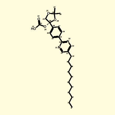 CCCCCCCCCCCc1cnc(-c2ccc([C@@]3(OC(=O)O)COC(C)(C)O3)cc2)nc1